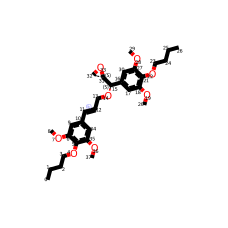 CCCCOc1c(OC)cc(/C=C/CO[C@@H](c2cc(OC)c(OCCCC)c(OC)c2)[C@@H]2CO2)cc1OC